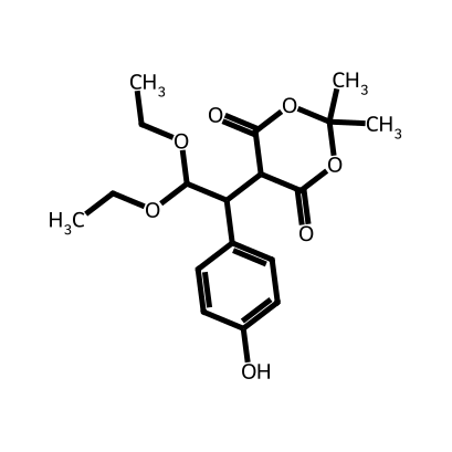 CCOC(OCC)C(c1ccc(O)cc1)C1C(=O)OC(C)(C)OC1=O